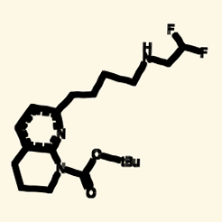 CC(C)(C)OC(=O)N1CCCc2ccc(CCCCNCC(F)F)nc21